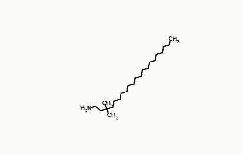 CCCCCCCCCCCCCCCCCCC(C)(C)CCN